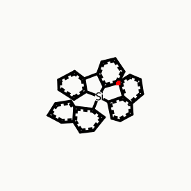 c1ccc2c(c1)-c1ccccc1[Si]2(c1cccc2ccccc12)c1cccc2ccccc12